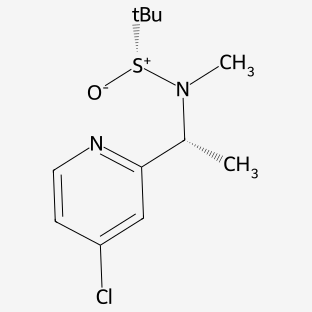 C[C@H](c1cc(Cl)ccn1)N(C)[S@+]([O-])C(C)(C)C